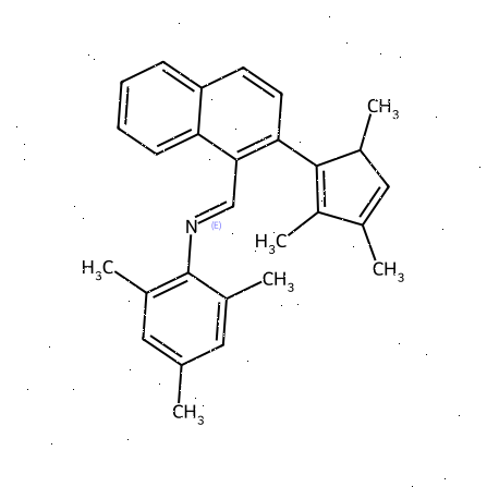 CC1=CC(C)C(c2ccc3ccccc3c2/C=N/c2c(C)cc(C)cc2C)=C1C